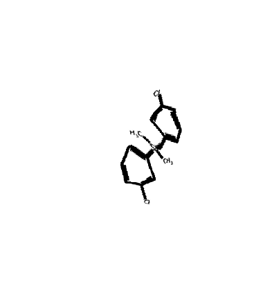 C[Si](C)(c1cccc(Cl)c1)c1cccc(Cl)c1